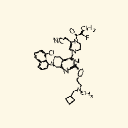 C=C(F)C(=O)N1CCN(c2nc(OCCN(C)CC3CCC3)nc3c2CCN(c2cccc4cccc(Cl)c24)C3)C=C1CC#N